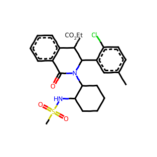 CCOC(=O)C1c2ccccc2C(=O)N(C2CCCCC2NS(C)(=O)=O)C1c1cc(C)ccc1Cl